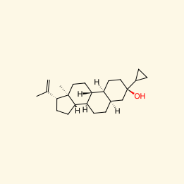 C=C(C)[C@H]1CC[C@H]2[C@@H]3CC[C@@H]4C[C@@](O)(C5CC5)CC[C@@H]4[C@H]3CC[C@]12C